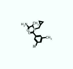 Cc1cc(Br)cc(C(=O)N(CC2CC2)C(C)C(N)=O)c1